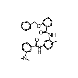 Cc1ccc(NC(=O)c2cccc(N(C)C)c2)cc1NC(=O)c1ccccc1OCc1ccccc1